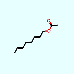 CC=CCCC=CCOC(C)=O